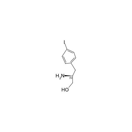 N[C@H](CO)Cc1ccc(I)cc1